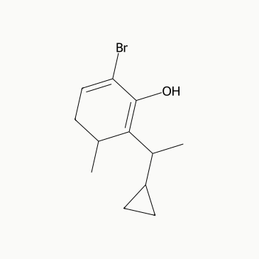 CC1CC=C(Br)C(O)=C1C(C)C1CC1